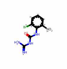 N=C(N)NC(=O)Nc1c(Br)cccc1[N+](=O)[O-]